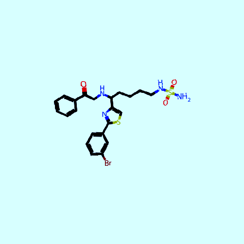 NS(=O)(=O)NCCCCC(NCC(=O)c1ccccc1)c1csc(-c2cccc(Br)c2)n1